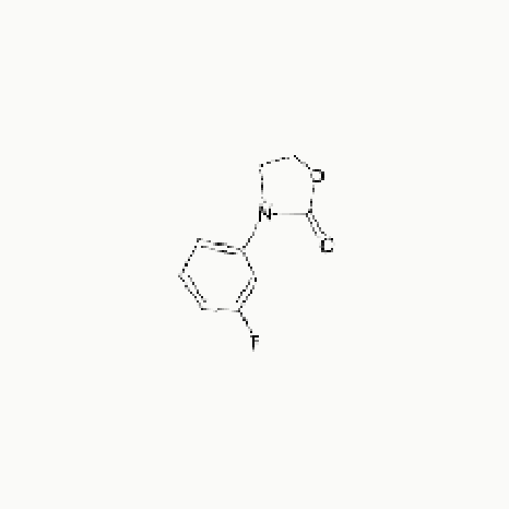 O=C1OCCN1c1cccc(F)c1